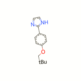 CC(C)(C)COc1ccc(-c2ncc[nH]2)cc1